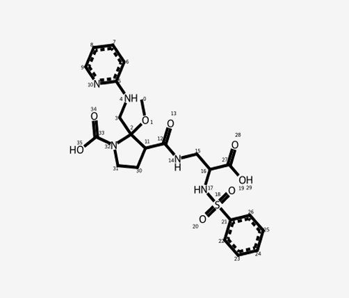 COC1(CNc2ccccn2)C(C(=O)NCC(NS(=O)(=O)c2ccccc2)C(=O)O)CCN1C(=O)O